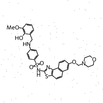 COc1cccc(CNc2ccc(S(=O)(=O)Nc3nc4c(ccc5cc(OCN6CCOCC6)ccc54)s3)cc2)c1O